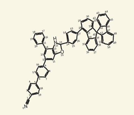 N#Cc1ccc(-c2ccc(-c3cc4c(c(-c5ccccc5)c3)NC(c3ccc(-c5cccc6c5-c5ccccc5C65c6ccccc6-c6ccccc65)cc3)O4)cc2)cc1